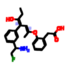 CC/C(O)=C(\C=C(/C)Oc1ccccc1CC(=O)O)c1cccc(C(N)CF)c1